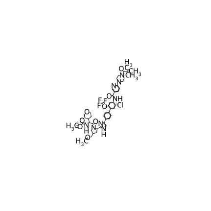 COCC1CC(c2nc(-c3ccc(-c4cc(Cl)c(NC(=O)c5ccc(N6CCN(C(=O)C(C)(C)C)CC6)nc5)cc4OC(F)(F)F)cc3)c[nH]2)N(C(=O)C(NC(=O)OC)C2CCOCC2)C1